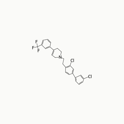 FC(F)(F)c1cccc(C2=CCN(CCc3ccc(-c4cccc(Cl)c4)cc3Cl)CC2)c1